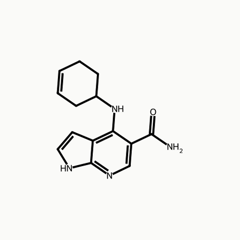 NC(=O)c1cnc2[nH]ccc2c1NC1CC=CCC1